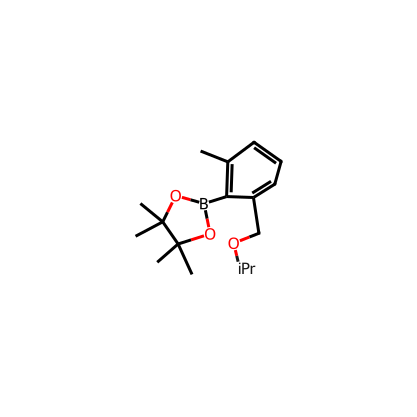 Cc1cccc(COC(C)C)c1B1OC(C)(C)C(C)(C)O1